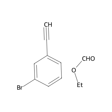 C#Cc1cccc(Br)c1.CCOC=O